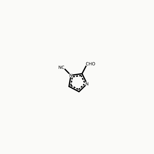 N#Cn1ccnc1C=O